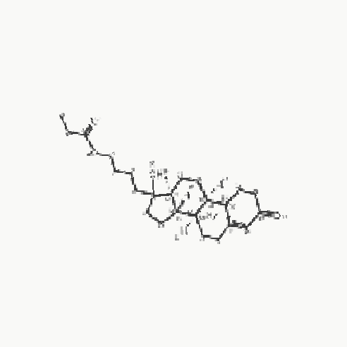 CCC(=O)OCCCCC1(O)CC[C@H]2[C@@H]3CCC4=CC(=O)CC[C@]4(C)[C@@H]3CC[C@@]21C